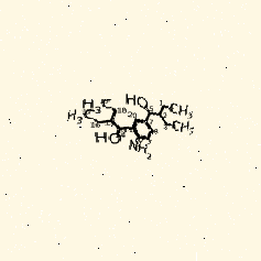 CCC(CC)C(O)c1ccc(N)c(C(O)C(CC)CC)c1